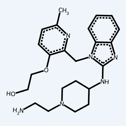 Cc1ccc(OCCO)c(Cn2c(NC3CCN(CCN)CC3)nc3ccccc32)n1